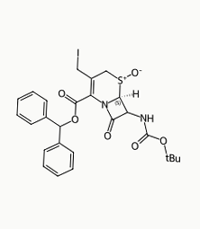 CC(C)(C)OC(=O)NC1C(=O)N2C(C(=O)OC(c3ccccc3)c3ccccc3)=C(CI)C[S+]([O-])[C@@H]12